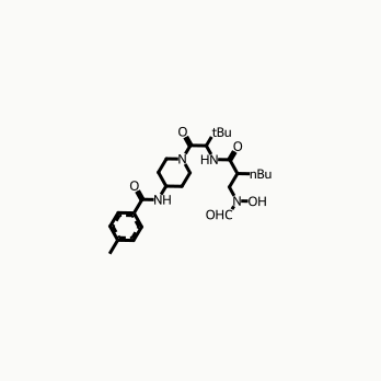 CCCCC(CN(O)C=O)C(=O)NC(C(=O)N1CCC(NC(=O)c2ccc(C)cc2)CC1)C(C)(C)C